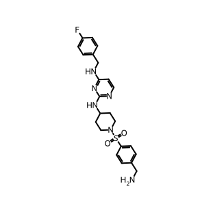 NCc1ccc(S(=O)(=O)N2CCC(Nc3nccc(NCc4ccc(F)cc4)n3)CC2)cc1